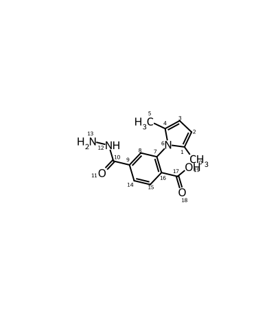 Cc1ccc(C)n1-c1cc(C(=O)NN)ccc1C(=O)O